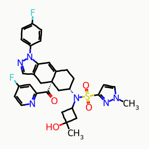 Cn1ccc(S(=O)(=O)N(C2CC(C)(O)C2)[C@H]2CCC3=Cc4c(cnn4-c4ccc(F)cc4)C[C@]3(C(=O)c3cc(F)ccn3)C2)n1